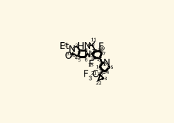 CCN1Cc2c(ccnc2N[C@@H](C)c2cc(F)c(-c3cc(C4(C(F)(F)F)CC4)ccn3)cc2F)C1=O